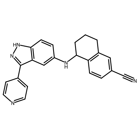 N#Cc1ccc2c(c1)CCCC2Nc1ccc2[nH]nc(-c3ccncc3)c2c1